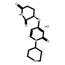 Cl.O=C1CC[C@@H](Oc2ccn(C3CCNCC3)c(=O)c2)C(=O)N1